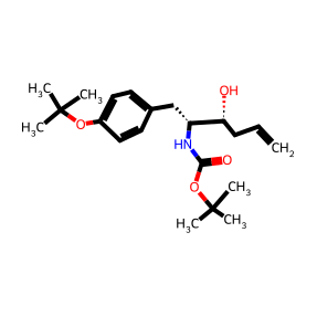 C=CC[C@@H](O)[C@@H](Cc1ccc(OC(C)(C)C)cc1)NC(=O)OC(C)(C)C